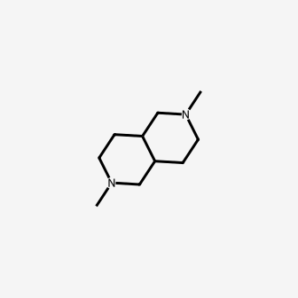 CN1CCC2CN(C)CCC2C1